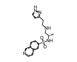 C[C@H](CNCCc1cc[nH]n1)NS(=O)(=O)c1ccc2cnccc2c1